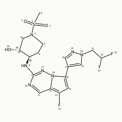 CS(=O)(=O)N1CC[C@@H](Nc2ncc3c(F)cc(-c4cnn(CC(F)F)c4)n3n2)[C@H](O)C1